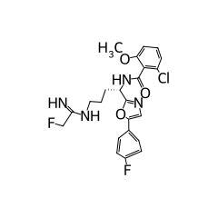 COc1cccc(Cl)c1C(=O)N[C@@H](CCCNC(=N)CF)c1ncc(-c2ccc(F)cc2)o1